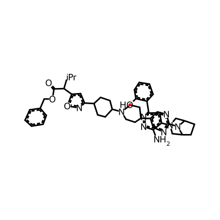 CC(C)C(C(=O)OCc1ccccc1)c1cc(C2CCC(N3CCC(c4cnc(N5C6CCC5CN(c5cc(-c7ccccc7O)nnc5N)C6)nc4)CC3)CC2)no1